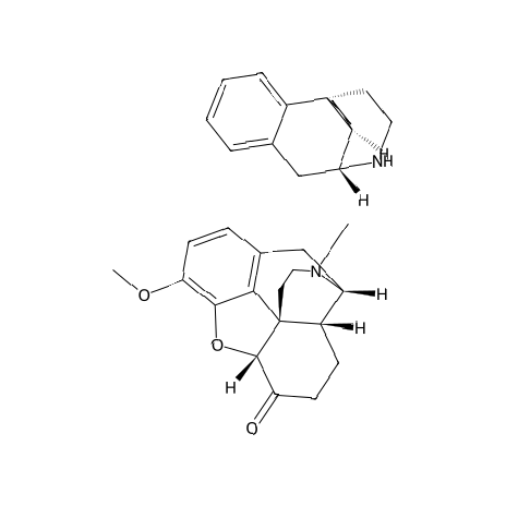 COc1ccc2c3c1O[C@H]1C(=O)CC[C@H]4[C@@H](C2)N(C)CC[C@]314.c1ccc2c(c1)C[C@H]1NCC[C@@]23CCCC[C@@H]13